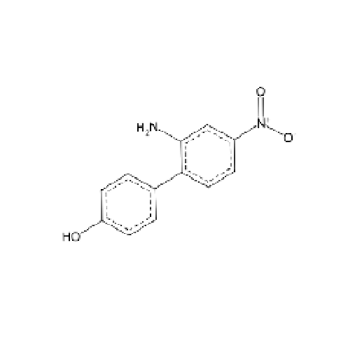 Nc1cc([N+](=O)[O-])ccc1-c1ccc(O)cc1